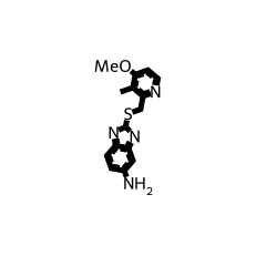 COc1ccnc(CSC2N=c3ccc(N)cc3=N2)c1C